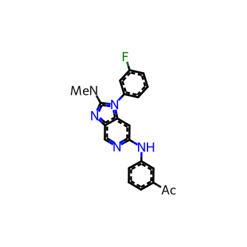 CNc1nc2cnc(Nc3cccc(C(C)=O)c3)cc2n1-c1cccc(F)c1